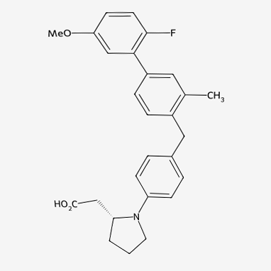 COc1ccc(F)c(-c2ccc(Cc3ccc(N4CCC[C@@H]4CC(=O)O)cc3)c(C)c2)c1